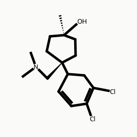 CN(C)C[C@]1(C2C=CC(Cl)=C(Cl)C2)CC[C@](C)(O)CC1